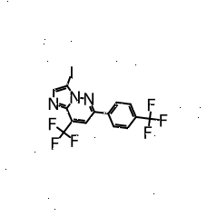 FC(F)(F)c1ccc(-c2cc(C(F)(F)F)c3ncc(I)n3n2)cc1